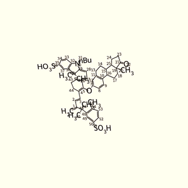 C=C(/C=C/C1=C(Oc2ccc3c(c2)CCC2C3CCC3(C)C(=O)CCC23)C(=C/C=C2/N(CCCC)c3ccc(S(=O)(=O)O)cc3C2(C)C)/CCC1)C(C)(C)c1cc(S(=O)(=O)O)ccc1C